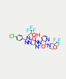 O=C(c1ncccc1-n1cnc(Cn2nc(-c3ccc(Cl)cc3)n(C[C@H](O)C(F)(F)F)c2=O)n1)N1CCOC(C(F)(F)F)C1